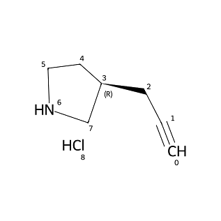 C#CC[C@@H]1CCNC1.Cl